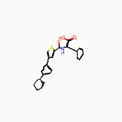 O=C(NC(C(=O)O)c1ccccc1)c1cc(-c2ccc(C3CCCCC3)cc2)cs1